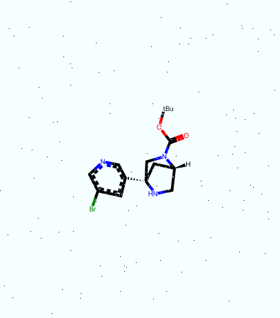 CC(C)(C)OC(=O)N1C[C@@]2(c3cncc(Br)c3)C[C@H]1CN2